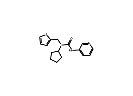 O=C(Nc1cccnc1)N(Cc1cccs1)C1CCCC1